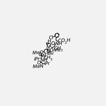 CC[C@H](C)C(C(CC(=O)N1C2C[C@H]2C[C@H]1C(OC)[C@@H](C)C(=O)N[C@@H](Cc1ccccc1Cl)C(=O)O)OC)N(C)C(=O)[C@@H](NC(=O)[C@@H](NC)C(C)C)C(C)C